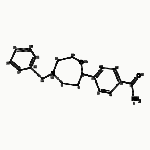 NC(=O)c1ccc(C2CCN(Cc3ccccc3)CCO2)cc1